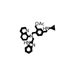 CC(=O)OCc1cc(CNC2CC2)ccc1CN(Cc1nc2ccccc2[nH]1)C1CCCc2cccnc21